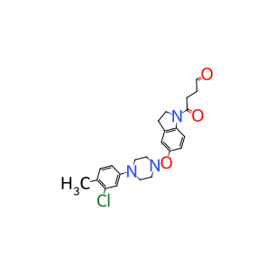 Cc1ccc(N2CCN(Oc3ccc4c(c3)CCN4C(=O)CCC=O)CC2)cc1Cl